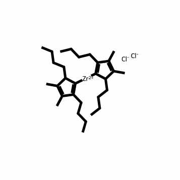 CCCCC1=[C]([Zr+2][C]2=C(CCCC)C(C)=C(C)C2CCCC)C(CCCC)C(C)=C1C.[Cl-].[Cl-]